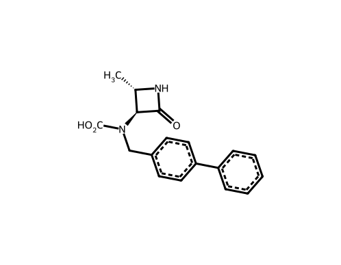 C[C@@H]1NC(=O)[C@H]1N(Cc1ccc(-c2ccccc2)cc1)C(=O)O